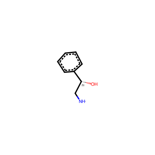 [NH]C[C@@H](O)c1ccccc1